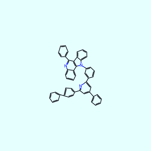 c1ccc(-c2ccc(-c3cc(-c4ccccc4)cc(-c4cccc(-n5c6ccccc6c6c(-c7ccccc7)nc7ccccc7c65)c4)n3)cc2)cc1